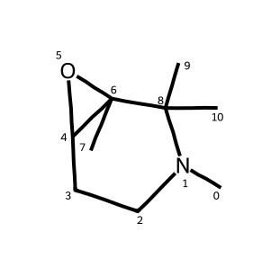 CN1CCC2OC2(C)C1(C)C